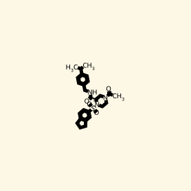 CC(=O)N1CCN(S(=O)(=O)c2ccc3c(c2)CCC3)[C@@H](C(=O)NCc2ccc(C(C)C)cc2)C1